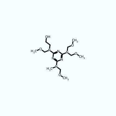 COCN(C)c1nc(N(CCO)COC)nc(N(COC)COC)n1